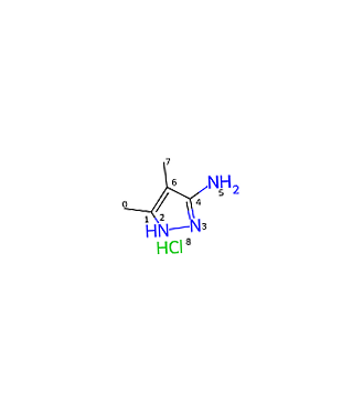 Cc1[nH]nc(N)c1C.Cl